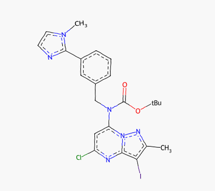 Cc1nn2c(N(Cc3cccc(-c4nccn4C)c3)C(=O)OC(C)(C)C)cc(Cl)nc2c1I